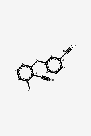 Cc1cccc(Cc2cccc(C#N)c2)c1C#N